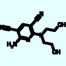 N#Cc1cc(C#N)c(N(CCO)CCO)nc1N